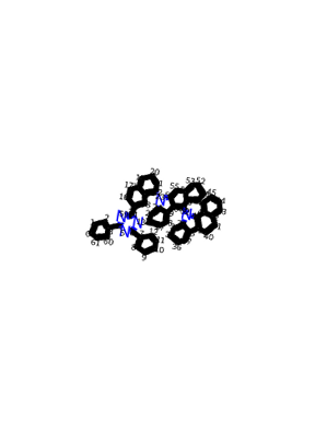 c1ccc(-c2nc(-c3ccccc3)nc(-c3ccc4cccc(-n5c6ccccc6c6c(-n7c8ccccc8c8ccc9ccccc9c87)c7ccccc7cc65)c4c3)n2)cc1